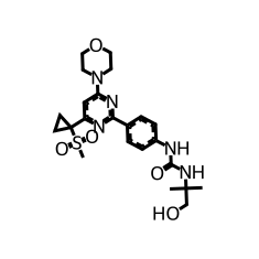 CC(C)(CO)NC(=O)Nc1ccc(-c2nc(N3CCOCC3)cc(C3(S(C)(=O)=O)CC3)n2)cc1